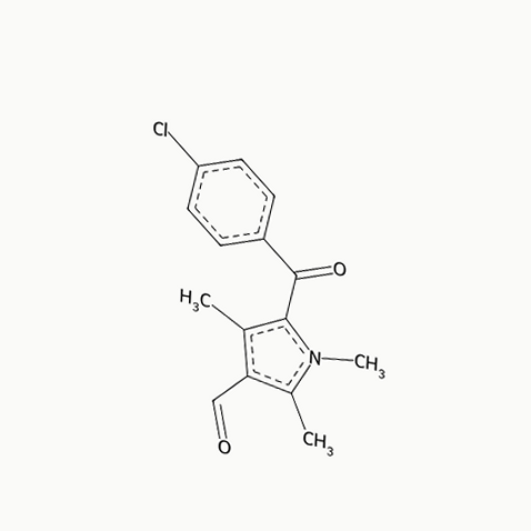 Cc1c(C=O)c(C)n(C)c1C(=O)c1ccc(Cl)cc1